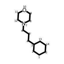 C1CCC(CCCN2CCOCC2)CC1